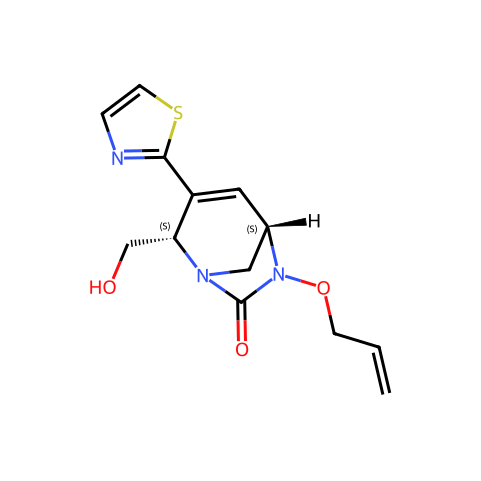 C=CCON1C(=O)N2C[C@@H]1C=C(c1nccs1)[C@H]2CO